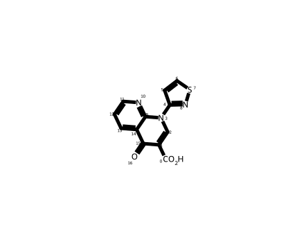 O=C(O)c1cn(-c2ccsn2)c2ncccc2c1=O